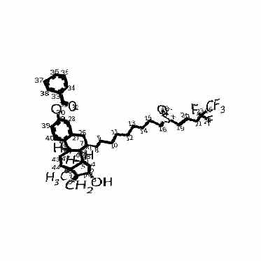 C=C1[C@H](O)C[C@H]2[C@@H]3[C@H](CCCCCCCCC[S+]([O-])CCCC(F)(F)C(F)(F)F)Cc4cc(OC(=O)c5ccccc5)ccc4[C@H]3CC[C@]12C